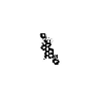 O=c1cc2c3ccc4cn5c6ccccc6nc5c5c(=O)cc(c6ccc7c(c1cn1c8ccccc8nc71)c26)c3c45